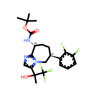 CC(C)(C)OC(=O)N[C@@H]1CC[C@@H](c2cccc(F)c2F)Cn2c(C(C)(O)C(F)(F)F)cnc21